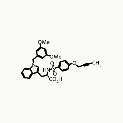 CC#CCOc1ccc(S(=O)(=O)N[C@H](Cc2cn(Cc3cc(OC)cc(OC)c3)c3ccccc23)C(=O)O)cc1